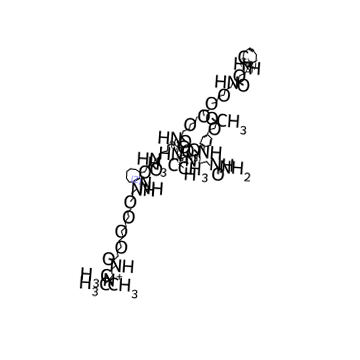 CC(=O)OCc1ccc(NC(=O)[C@H](CCCNC(N)=O)NC(=O)[C@@H](NC(=O)[C@@H](CCCCNC(=O)COC2CCCCC/C(NCCOCCOCCOCCOCCC(=O)NCC[N+](C)(C)C)=C\2N=N)NC(=O)CCOCCOCCOCCOCCNC(=O)OC[C@@H]2[C@@H]3CCC#CCC[C@@H]32)C(C)C)cc1